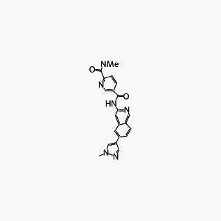 CNC(=O)c1ccc(C(=O)Nc2cc3cc(-c4cnn(C)c4)ccc3cn2)cn1